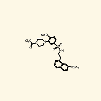 COc1ccc2cccc(CCNS(=O)(=O)c3ccc(OC)c(N4CCN(C(=O)C(Cl)(Cl)Cl)CC4)c3)c2c1